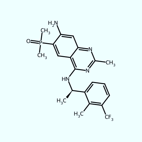 Cc1nc(N[C@H](C)c2cccc(C(F)(F)F)c2C)c2cc(P(C)(C)=O)c(N)cc2n1